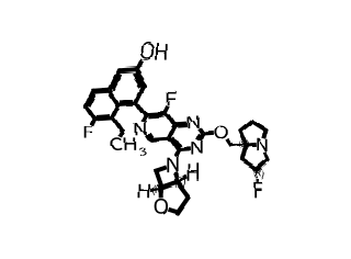 CCc1c(F)ccc2cc(O)cc(-c3ncc4c(N5C[C@H]6OCC[C@H]65)nc(OC[C@@]56CCCN5C[C@H](F)C6)nc4c3F)c12